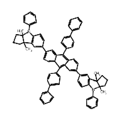 CC12CCCC1(C)N(c1ccccc1)c1ccc(-c3ccc4c(-c5ccc(-c6ccccc6)cc5)c5cc(-c6ccc7c(c6)C6(C)CCCC6(C)N7c6ccccc6)ccc5c(-c5ccc(-c6ccccc6)cc5)c4c3)cc12